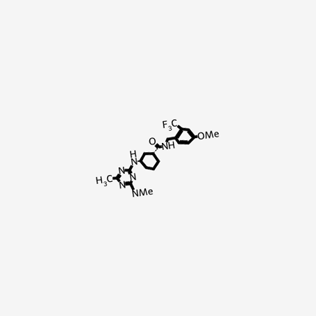 CNc1nc(C)nc(N[C@H]2CCC[C@@H](C(=O)NCc3ccc(OC)cc3C(F)(F)F)C2)n1